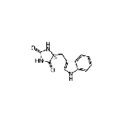 O=C1NC(=O)[C@H](Cc2c[nH]c3ccccc23)N1